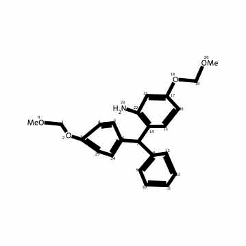 COCOc1ccc(C(c2ccccc2)c2ccc(OCOC)cc2N)cc1